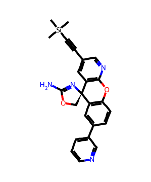 C[Si](C)(C)C#Cc1cnc2c(c1)[C@]1(COC(N)=N1)c1cc(-c3cccnc3)ccc1O2